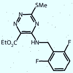 CCOC(=O)c1nnc(SC)nc1NCc1c(F)cccc1F